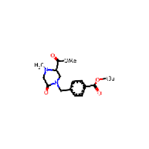 COC(=O)C1CN(Cc2ccc(C(=O)OC(C)(C)C)cc2)C(=O)CN1C